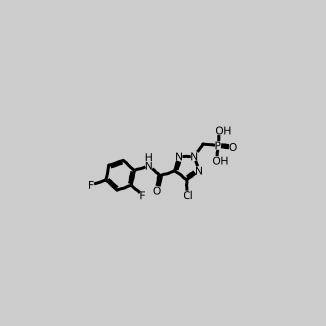 O=C(Nc1ccc(F)cc1F)c1nn(CP(=O)(O)O)nc1Cl